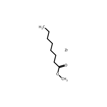 CCCCCCCC(=O)OC.[Zr]